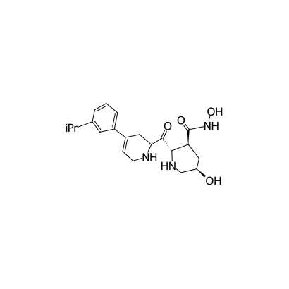 CC(C)c1cccc(C2=CCNC(C(=O)[C@H]3NC[C@H](O)C[C@@H]3C(=O)NO)C2)c1